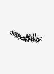 CC(=O)N1CCN(c2ccc3ncn(CC(=O)NCc4ccc(F)cc4)c(=O)c3c2)CC1